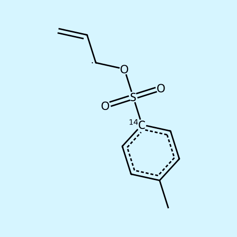 C=C[CH]OS(=O)(=O)[14c]1ccc(C)cc1